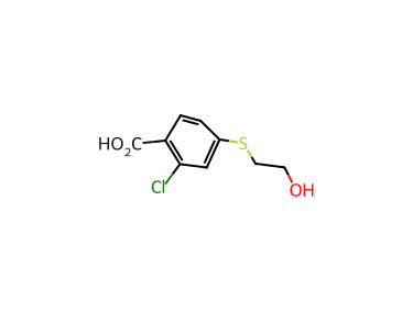 O=C(O)c1ccc(SCCO)cc1Cl